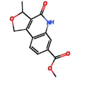 COC(=O)c1ccc2c3c(c(=O)[nH]c2c1)C(C)OC3